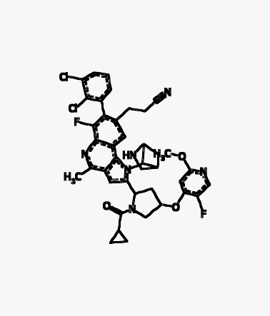 COc1cc(OC2CC(c3cc4c(C)nc5c(F)c(-c6cccc(Cl)c6Cl)c(CCC#N)cc5c4n3C3C4CNC3C4)N(C(=O)C3CC3)C2)c(F)cn1